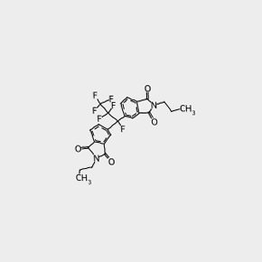 CCCN1C(=O)c2ccc(C(F)(c3ccc4c(c3)C(=O)N(CCC)C4=O)C(F)(F)C(F)(F)F)cc2C1=O